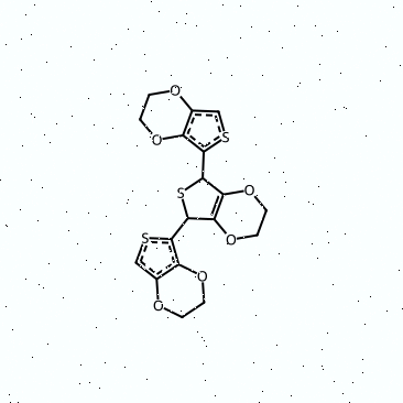 c1sc(C2SC(c3scc4c3OCCO4)C3=C2OCCO3)c2c1OCCO2